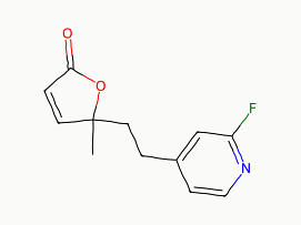 CC1(CCc2ccnc(F)c2)C=CC(=O)O1